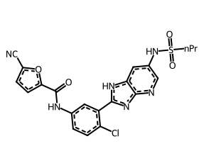 CCCS(=O)(=O)Nc1cnc2nc(-c3cc(NC(=O)c4ccc(C#N)o4)ccc3Cl)[nH]c2c1